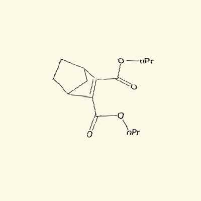 CCCOC(=O)C1=C(C(=O)OCCC)C2CCC1C2